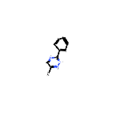 Cc1cnc(-c2cc#ccc2)nn1